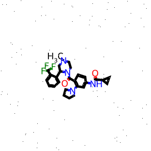 CN1CCN(C(=O)c2ccc(NC(=O)C3CC3)cc2N2CCCC2)C(c2ccccc2C(F)(F)F)C1